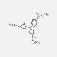 COCNc1ccc(C(c2ccc(NCOC)cc2)c2ccc(NC(C)=O)cc2)cc1